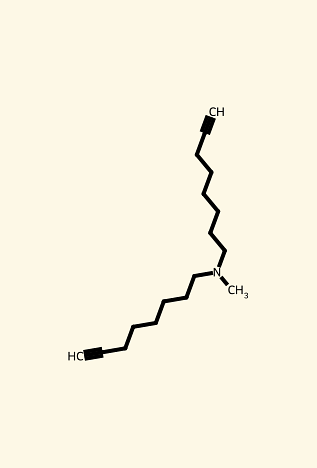 C#CCCCCCCN(C)CCCCCCC#C